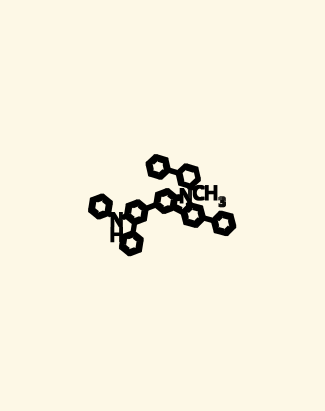 CC1(n2c3ccc(-c4ccc(Nc5ccccc5)c(-c5ccccc5)c4)cc3c3ccc(-c4ccccc4)cc32)C=C(c2ccccc2)C=CC1